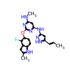 C/C=C/c1cc(Nc2cc(NC)nc(Oc3ccc4[nH]c(C)cc4c3F)n2)n[nH]1